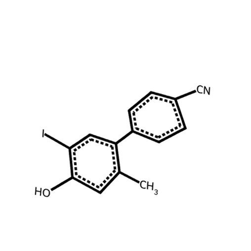 Cc1cc(O)c(I)cc1-c1ccc(C#N)cc1